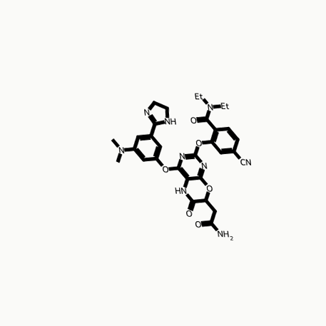 CCN(CC)C(=O)c1ccc(C#N)cc1Oc1nc(Oc2cc(C3=NCCN3)cc(N(C)C)c2)c2c(n1)OC(CC(N)=O)C(=O)N2